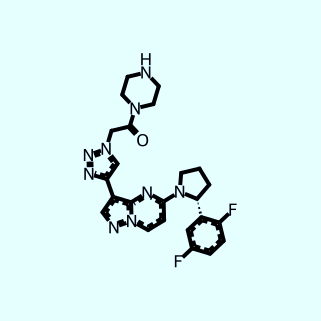 O=C(Cn1cc(-c2cnn3ccc(N4CCC[C@@H]4c4cc(F)ccc4F)nc23)nn1)N1CCNCC1